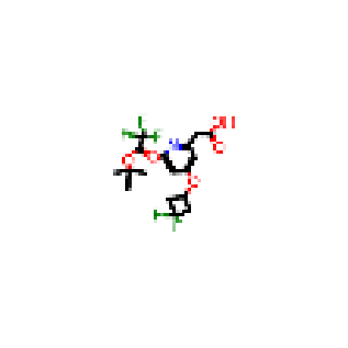 CC(C)(C)OC(=O)C(F)(F)F.O=C(O)Cc1cc(OC2CC(F)(F)C2)ccn1